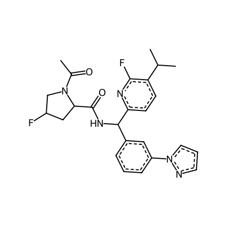 CC(=O)N1CC(F)CC1C(=O)NC(c1cccc(-n2cccn2)c1)c1ccc(C(C)C)c(F)n1